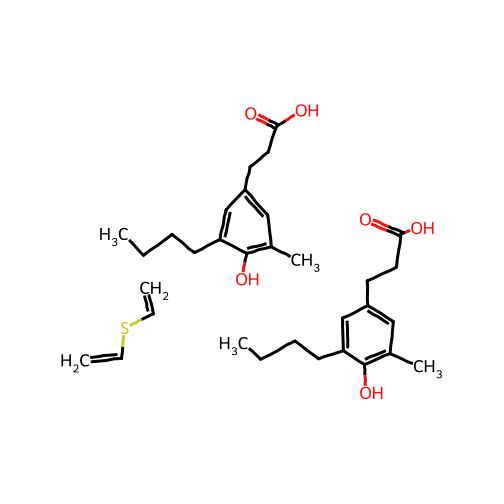 C=CSC=C.CCCCc1cc(CCC(=O)O)cc(C)c1O.CCCCc1cc(CCC(=O)O)cc(C)c1O